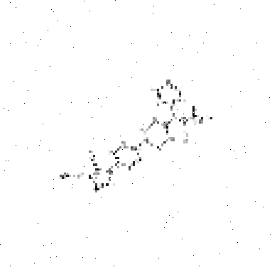 CCCCCn1ncn(-c2ccc(N3CCN(C(C(=O)NC(C)C)c4ccccc4)CC3)cc2)c1=O